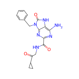 Nc1nc(C(=O)NCC(=O)C2CC2)nc2c1[nH]c(=O)n2Cc1ccccc1